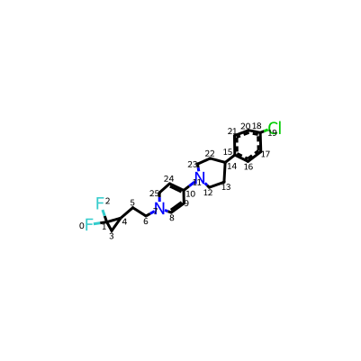 FC1(F)CC1CCN1C=CC(N2CCC(c3ccc(Cl)cc3)CC2)=CC1